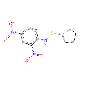 O=[N+]([O-])c1ccc(NSC2CCCC2)c([N+](=O)[O-])c1